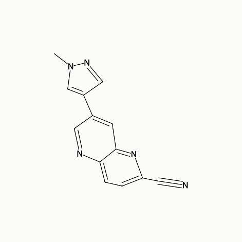 Cn1cc(-c2cnc3ccc(C#N)nc3c2)cn1